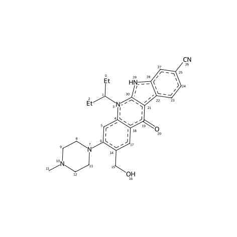 CCC(CC)n1c2cc(N3CCN(C)CC3)c(CO)cc2c(=O)c2c3ccc(C#N)cc3[nH]c21